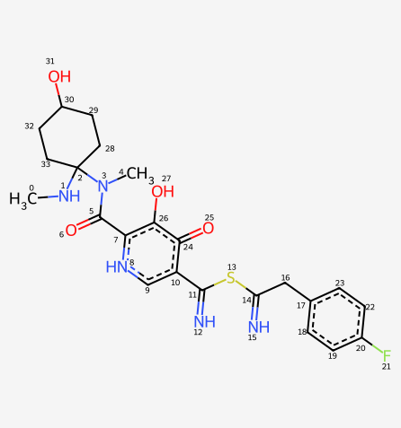 CNC1(N(C)C(=O)c2[nH]cc(C(=N)SC(=N)Cc3ccc(F)cc3)c(=O)c2O)CCC(O)CC1